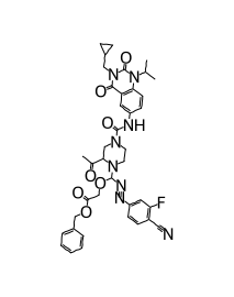 CC(=O)C1CN(C(=O)Nc2ccc3c(c2)c(=O)n(CC2CC2)c(=O)n3C(C)C)CCN1C(/N=N/c1ccc(C#N)c(F)c1)OCC(=O)OCc1ccccc1